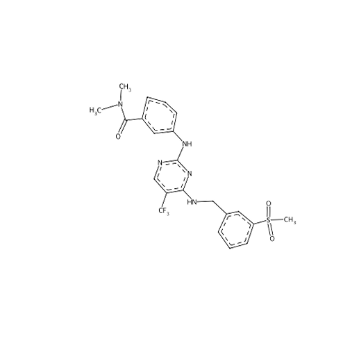 CN(C)C(=O)c1cccc(Nc2ncc(C(F)(F)F)c(NCc3cccc(S(C)(=O)=O)c3)n2)c1